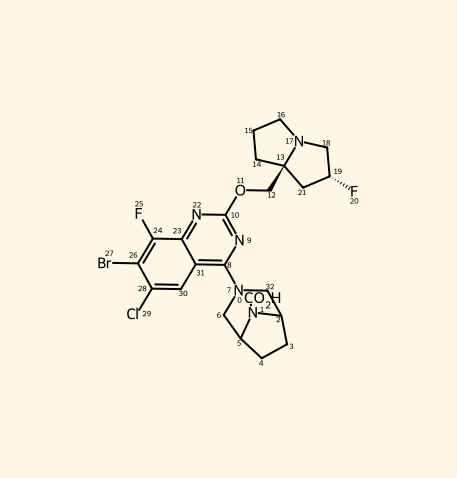 O=C(O)N1C2CCC1CN(c1nc(OC[C@@]34CCCN3C[C@H](F)C4)nc3c(F)c(Br)c(Cl)cc13)C2